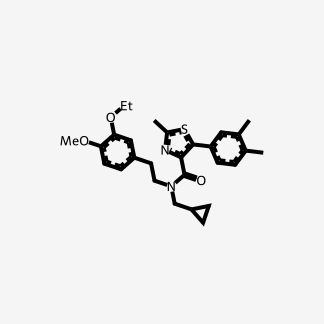 CCOc1cc(CCN(CC2CC2)C(=O)c2nc(C)sc2-c2ccc(C)c(C)c2)ccc1OC